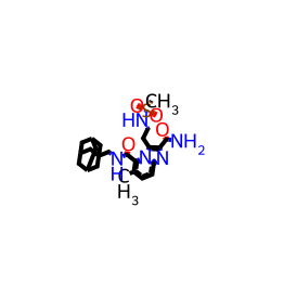 Cc1ccc2nc(C(N)=O)c(CCNS(C)(=O)=O)n2c1C(=O)NCC12CC3CC(CC(C3)C1)C2